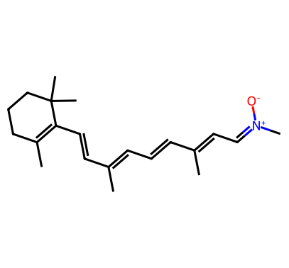 CC(C=CC1=C(C)CCCC1(C)C)=C/C=C/C(C)=C/C=[N+](/C)[O-]